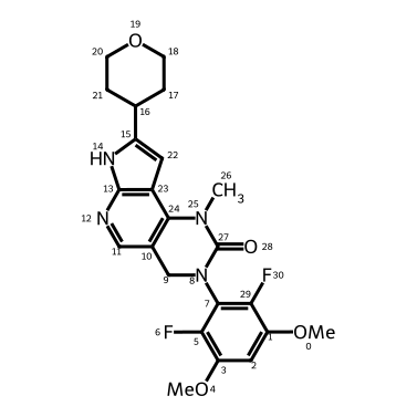 COc1cc(OC)c(F)c(N2Cc3cnc4[nH]c(C5CCOCC5)cc4c3N(C)C2=O)c1F